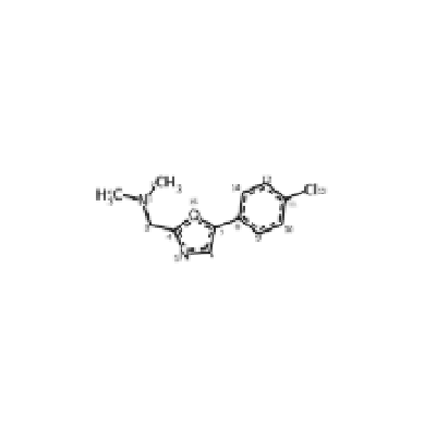 CN(C)Cc1ncc(-c2ccc(Cl)cc2)o1